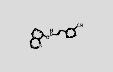 N#Cc1cccc(C=CBOc2cccc3cccnc23)c1